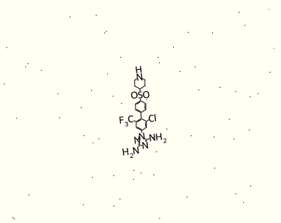 Nc1nc(N)n(-c2cc(Cl)c(-c3ccc(S(=O)(=O)C4CCNCC4)cc3)c(C(F)(F)F)c2)n1